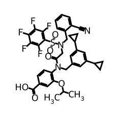 CC(C)Oc1cc(C(=O)O)ccc1N(Cc1cc(C2CC2)cc(C2CC2)c1)C(=O)CN(Cc1ccccc1C#N)S(=O)(=O)c1c(F)c(F)c(F)c(F)c1F